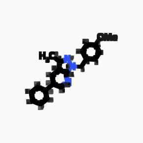 COc1ccc(Cn2nc(C)c3cc(-c4[c]cccc4)cnc32)cc1